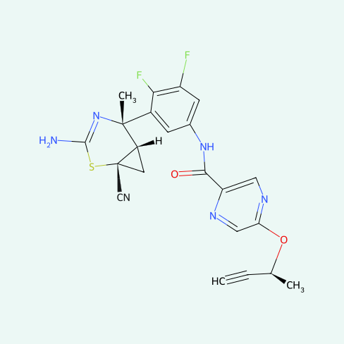 C#C[C@H](C)Oc1cnc(C(=O)Nc2cc(F)c(F)c([C@@]3(C)N=C(N)S[C@@]4(C#N)C[C@H]43)c2)cn1